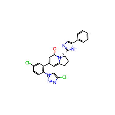 O=c1cc(-c2cc(Cl)ccc2-n2cc(Cl)nn2)cc2n1[C@H](c1ncc(-c3cc[c]cc3)[nH]1)CC2